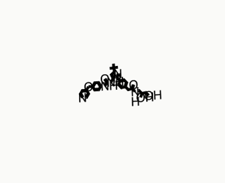 CC(C)(C)c1cc(NC(=O)Nc2ccc(Oc3ccncc3)cc2)n(-c2ccc(CC(=O)NCC(O)CO)cc2)n1